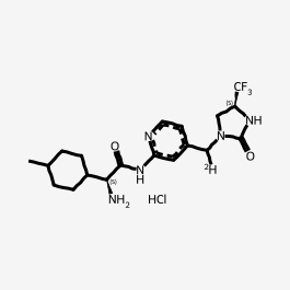 Cl.[2H]C(c1ccnc(NC(=O)[C@@H](N)C2CCC(C)CC2)c1)N1C[C@@H](C(F)(F)F)NC1=O